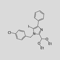 CCOC(OCC)c1nc(-c2ccccc2)c(I)n1Cc1ccc(Cl)cc1